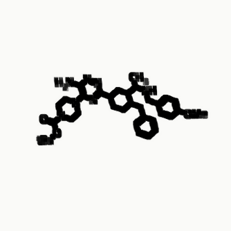 COc1ccc(CNC(C)C2CC(c3nnc(N)c(N4CCN(C(=O)OC(C)(C)C)CC4)n3)CCC2Cc2ccccc2)cc1